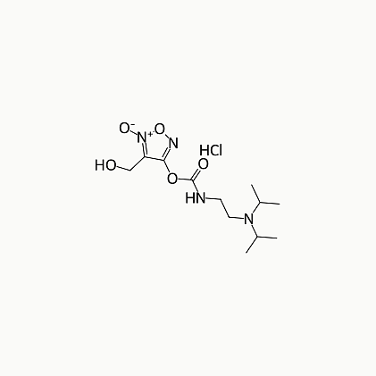 CC(C)N(CCNC(=O)Oc1no[n+]([O-])c1CO)C(C)C.Cl